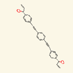 C=CC(=O)c1ccc(C#Cc2ccc(C#Cc3ccc(C(=O)C=C)cc3)cc2)cc1